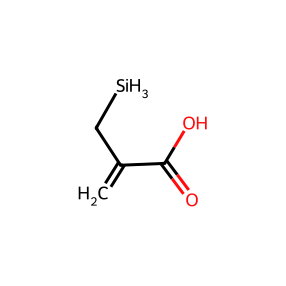 C=C(C[SiH3])C(=O)O